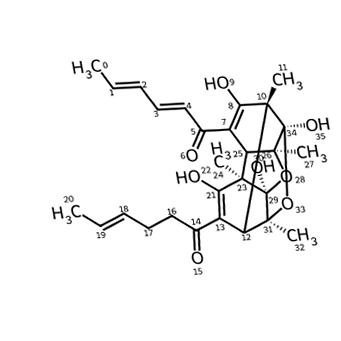 C/C=C/C=C/C(=O)C1=C(O)[C@@]2(C)C3C(C(=O)CC/C=C/C)=C(O)[C@@]4(C)C1[C@]1(C)O[C@@]4(O)[C@@]3(C)O[C@@]12O